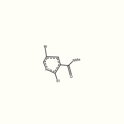 CCc1ncc(Br)cc1C(=O)NC